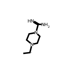 C[CH]N1CCN(C(=N)N)CC1